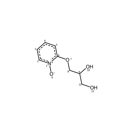 [O-][n+]1ccccc1OCC(O)CO